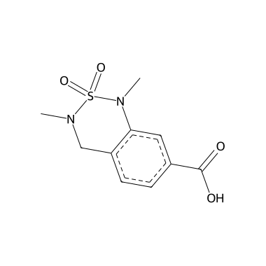 CN1Cc2ccc(C(=O)O)cc2N(C)S1(=O)=O